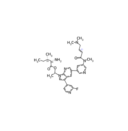 CC[C@H](C)[C@H](N)C(=O)OC(C)n1cc(-c2ccnc(F)c2)c2cc(-c3cncc(N(C)C(=O)/C=C/CN(C)C)c3)cnc21